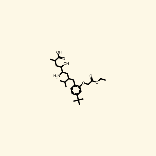 CCOC(=O)COc1cc(C(C)(C)C)ccc1CC(CC(N)C(O)CC(C)C(=O)O)C(C)C